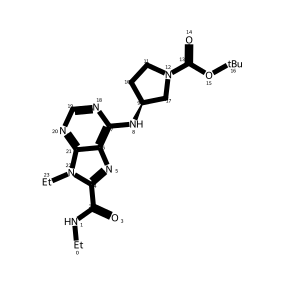 CCNC(=O)c1nc2c(N[C@H]3CCN(C(=O)OC(C)(C)C)C3)ncnc2n1CC